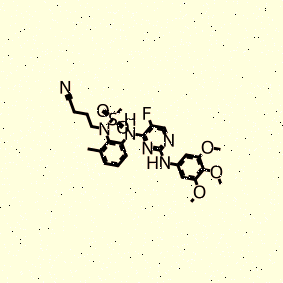 COc1cc(Nc2ncc(F)c(Nc3cccc(C)c3N(CCCC#N)S(C)(=O)=O)n2)cc(OC)c1OC